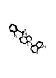 O=C(c1ccccc1Cl)N1CCC[C@@H]2[C@H]1CCN2c1ncnc2[nH]ccc12